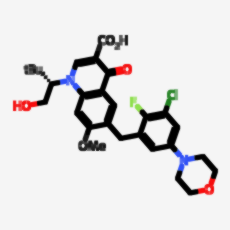 COc1cc2c(cc1Cc1cc(N3CCOCC3)cc(Cl)c1F)c(=O)c(C(=O)O)cn2[C@H](CO)C(C)(C)C